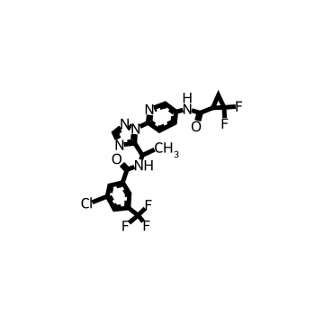 CC(NC(=O)c1cc(Cl)cc(C(F)(F)F)c1)c1ncnn1-c1ccc(NC(=O)C2CC2(F)F)cn1